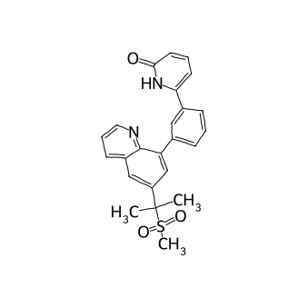 CC(C)(c1cc(-c2cccc(-c3cccc(=O)[nH]3)c2)c2ncccc2c1)S(C)(=O)=O